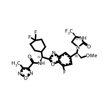 COC[C@@H](c1cc(F)c2oc([C@@H](NC(=O)c3nonc3C)C3CCC(F)(F)CC3)nc2c1)N1C[C@@H](C(F)(F)F)NC1=O